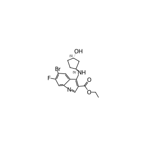 CCOC(=O)c1cnc2cc(F)c(Br)cc2c1N[C@H]1CC[C@H](O)C1